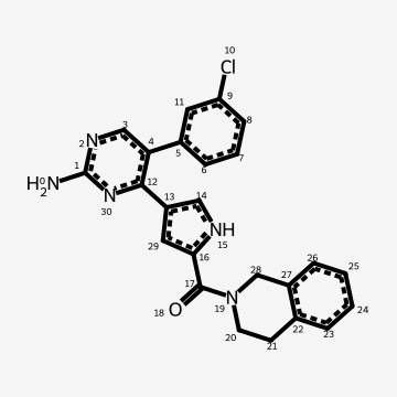 Nc1ncc(-c2cccc(Cl)c2)c(-c2c[nH]c(C(=O)N3CCc4ccccc4C3)c2)n1